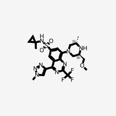 COC[C@H]1CN(c2cc(S(=O)(=O)NC3(C)CC3)cc3c(-c4cn(C)nn4)nc(C(F)(F)F)nc23)C[C@H](C)N1